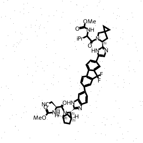 COC(=O)NC(C(=O)N1CC2(CC2)C[C@H]1c1ncc(-c2ccc3c(c2)C(F)(F)c2cc(-c4ccc5nc([C@@H]6[C@H]7CC[C@H](C7)N6C(=O)[C@H](CC#N)NC(=O)OC)[nH]c5c4)ccc2-3)[nH]1)C(C)C